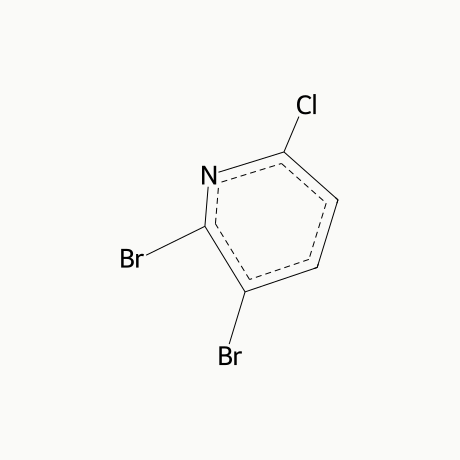 Clc1ccc(Br)c(Br)n1